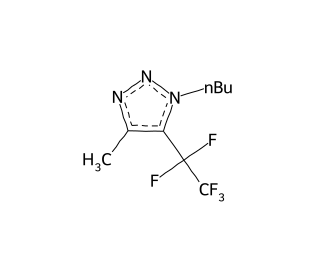 CCCCn1nnc(C)c1C(F)(F)C(F)(F)F